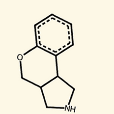 c1ccc2c(c1)OCC1CNCC21